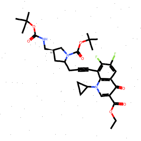 CCOC(=O)c1cn(C2CC2)c2c(C#CCC3C[C@@H](CNC(=O)OC(C)(C)C)CN3C(=O)OC(C)(C)C)c(F)c(F)cc2c1=O